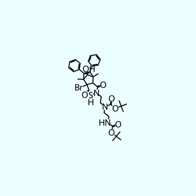 CC(C)(C)OC(=O)NCCN(CCN(S)C(=O)C1C2(C)C(c3ccccc3)=C(c3ccccc3)C(C)(C2O)C1(Br)C=O)C(=O)OC(C)(C)C